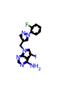 Nc1ncnc2c1c(I)cn2Cc1cnn(-c2ccccc2F)c1